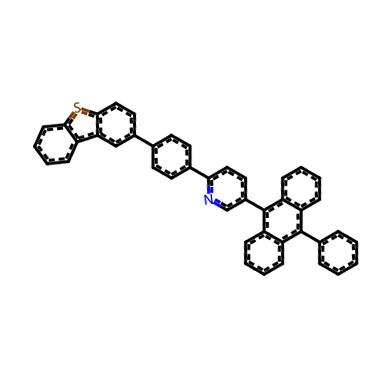 c1ccc(-c2c3ccccc3c(-c3ccc(-c4ccc(-c5ccc6sc7ccccc7c6c5)cc4)nc3)c3ccccc23)cc1